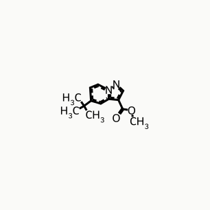 COC(=O)c1cnn2ccc(C(C)(C)C)cc12